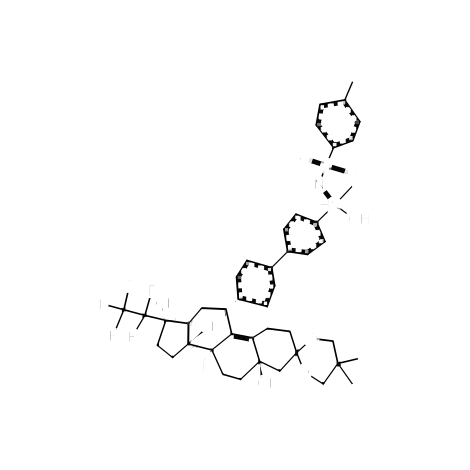 Cc1ccc(S(=O)(=O)N=[SH](C)(O)c2ccc(-c3ccc([C@H]4C[C@@]5(C)[C@@H](CC[C@@]5(O)C(F)(F)C(F)(F)F)[C@@H]5CC[C@@]6(O)CC7(CCC6=C54)OCC(C)(C)CO7)cc3)cc2)cc1